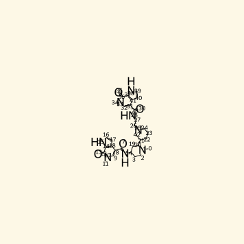 CN1CCC(NC(=O)c2cn(C)c(=O)c3[nH]ccc23)CC1C1CCCN(CCNC(=O)c2cn(C)c(=O)c3[nH]ccc23)C1